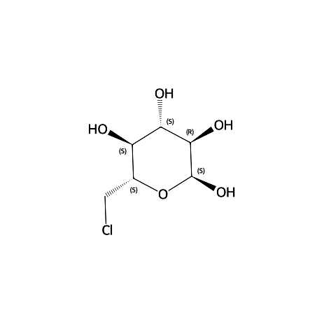 O[C@@H]1[C@@H](O)[C@@H](O)O[C@H](CCl)[C@H]1O